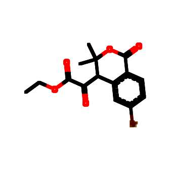 CCOC(=O)C(=O)C1c2cc(Br)ccc2C(=O)OC1(C)C